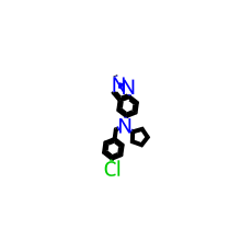 Cn1cc2cc(N(Cc3ccc(Cl)cc3)C3CCCC3)ccc2n1